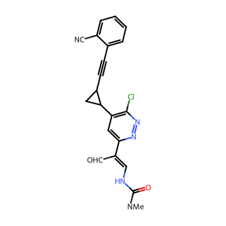 CNC(=O)N/C=C(\C=O)c1cc(C2CC2C#Cc2ccccc2C#N)c(Cl)nn1